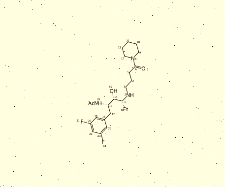 CC[C@@H](NCCCC(=O)N1CCCCC1)[C@@H](O)[C@H](Cc1cc(F)cc(F)c1)NC(C)=O